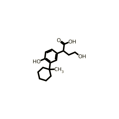 CC1(c2cc(C(CCO)C(=O)O)ccc2O)CCCCC1